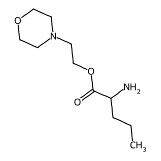 CCCC(N)C(=O)OCCN1CCOCC1